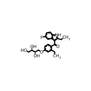 CCc1cc(OC[C@@H](O)[C@H](O)CO)ccc1C(=O)c1c(CC)[nH]c2ccc(F)cc12